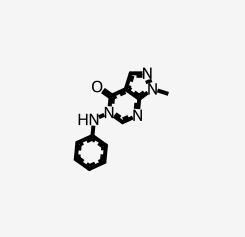 Cn1ncc2c(=O)n(Nc3ccccc3)cnc21